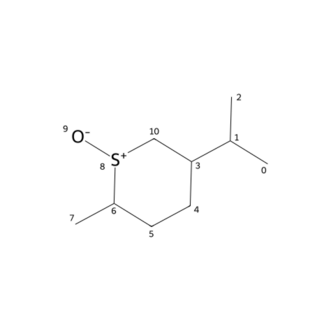 CC(C)C1CCC(C)[S+]([O-])C1